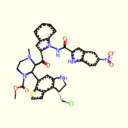 COC(=O)N1CCN(C)C(C(=O)c2cc3ccccc3n2NC(=O)c2cc3cc([N+](=O)[O-])ccc3[nH]2)C1c1cc2c(c3ccsc13)[C@@H](CCl)CN2